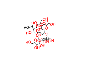 CC(=O)N[C@H]1[C@H]([C@H](O)[C@H](O)CO)O[C@](O)(C[C@]2(OC3O[C@H](CO)[C@H](O)[C@H](O)[C@H]3NC(C)=O)[C](C3O[C@H](CO)[C@H](O)[C@H](O)[C@H]3O)O[C@H](CO)[C@@H](O)[C@@H]2O)C[C@@H]1O